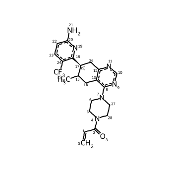 C=CC(=O)N1CCN(c2ncnc3c2CC(C)[C@@H](c2nc(N)ccc2C(F)(F)F)C3)CC1